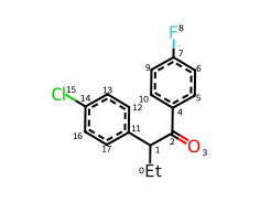 CCC(C(=O)c1ccc(F)cc1)c1ccc(Cl)cc1